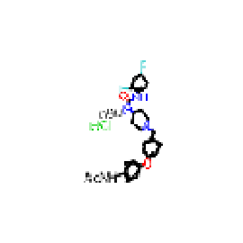 CCCCN(C(=O)Nc1ccc(F)cc1F)C1CCN(Cc2ccc(Oc3ccc(NC(C)=O)cc3)cc2)CC1.Cl